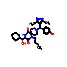 CCCCN1C(=O)[C@@H]([C@H](O)C2CCCCC2)NC(=O)C12CCN(C(c1ccc(O)cc1)c1c(C)n[nH]c1C)CC2